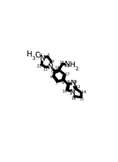 CN1CCN(c2ccc(-c3cn4c(n3)CCC4)cc2CN)CC1